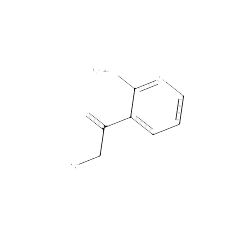 COc1ncccc1C(=O)CN